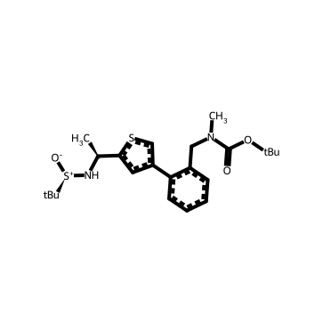 C[C@H](N[S@+]([O-])C(C)(C)C)c1cc(-c2ccccc2CN(C)C(=O)OC(C)(C)C)cs1